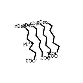 CCCCCCCCCCCCCCCC(=O)[O-].CCCCCCCCCCCCCCCC(=O)[O-].CCCCCCCCCCCCCCCC(=O)[O-].CCCCCCCCCCCCCCCC(=O)[O-].[Pb+4]